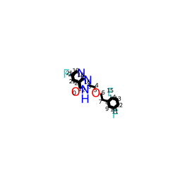 O=c1[nH]c(COCCc2cc(F)ccc2F)nc2ncc(F)cc12